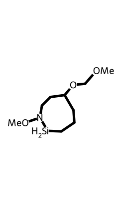 COCOC1CCC[SiH2]N(OC)CC1